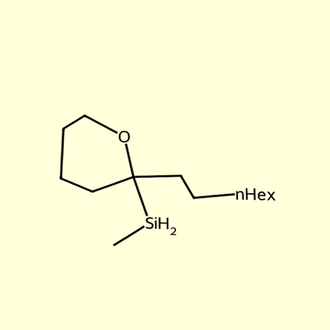 CCCCCCCCC1([SiH2]C)CCCCO1